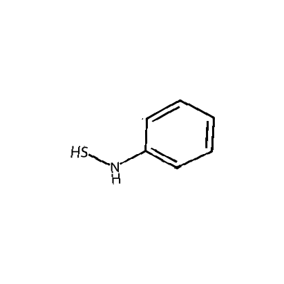 SNc1[c]cccc1